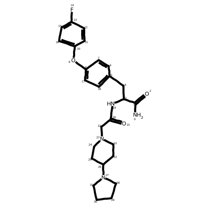 NC(=O)C(Cc1ccc(Oc2ccc(F)cc2)cc1)NC(=O)CN1CCC(N2CCCC2)CC1